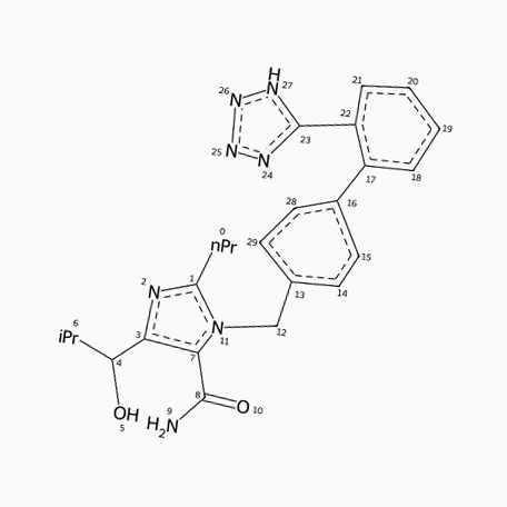 CCCc1nc(C(O)C(C)C)c(C(N)=O)n1Cc1ccc(-c2ccccc2-c2nnn[nH]2)cc1